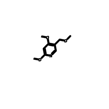 COCc1cnc(OC)cc1OC